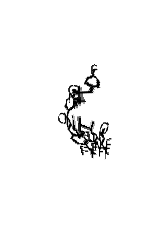 O=C(NCc1ccc(C(F)(F)F)c(-c2nc(C(F)(F)F)cc(=O)[nH]2)c1F)C1CCN(C(=O)Cc2ccc(F)cc2)CC1